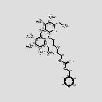 CC(=O)OC[C@@H]1O[C@H](OCCOCCNC(=O)OCc2ccccc2)[C@@H](O[C@H]2O[C@H](COC(C)=O)[C@@H](OC(C)=O)[C@H](OC(C)=O)[C@@H]2OC(C)=O)[C@@H](OC(C)=O)[C@@H]1OC(C)=O